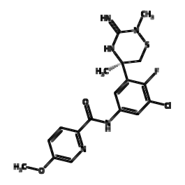 COc1ccc(C(=O)Nc2cc(Cl)c(F)c([C@]3(C)CSN(C)C(=N)N3)c2)nc1